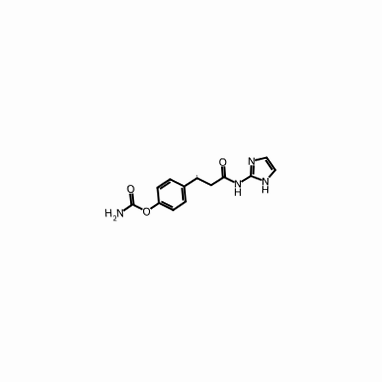 NC(=O)Oc1ccc([CH]CC(=O)Nc2ncc[nH]2)cc1